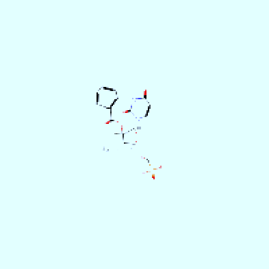 CC(=O)O[C@H]1[C@@H](OCP(=O)(O)O)O[C@@H](n2ccc(=O)[nH]c2=O)C1(C)OC(=O)c1ccccc1